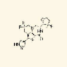 O=C1N[C@@H]([C@@H]2OCCC2(F)F)CN2CC(F)(F)Cc3c(-c4cn[nH]c4)sc1c32